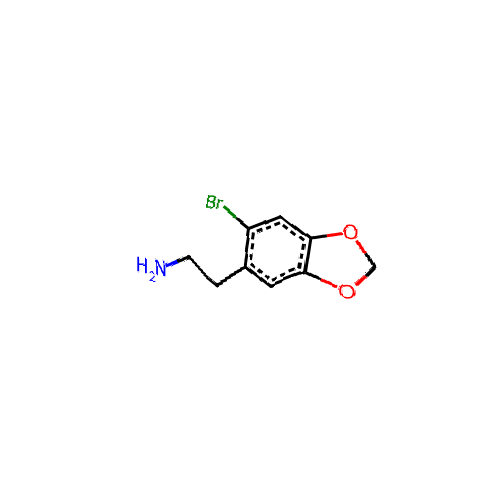 NCCc1cc2c(cc1Br)OCO2